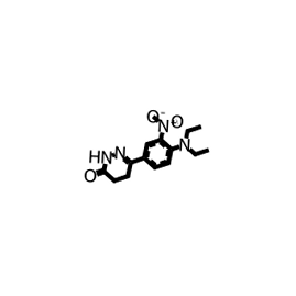 CCN(CC)c1ccc(C2=NNC(=O)CC2)cc1[N+](=O)[O-]